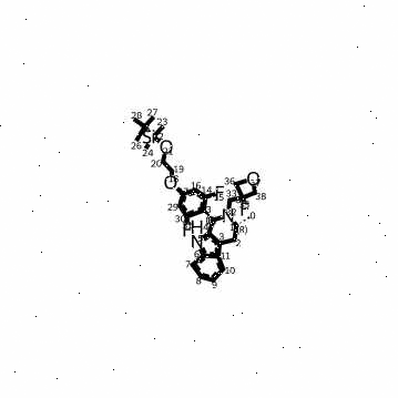 C[C@@H]1Cc2c([nH]c3ccccc23)[C@@H](c2c(F)cc(OCCO[Si](C)(C)C(C)(C)C)cc2F)N1CC1(F)COC1